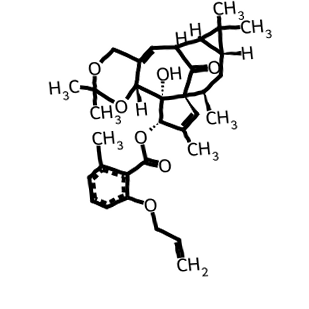 C=CCOc1cccc(C)c1C(=O)O[C@H]1C(C)=C[C@]23C(=O)[C@@H](C=C4COC(C)(C)O[C@H]4[C@]12O)[C@@H]1[C@@H](C[C@H]3C)C1(C)C